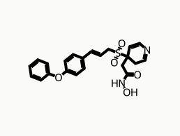 O=C(CC1(S(=O)(=O)CC=Cc2ccc(Oc3ccccc3)cc2)C=CN=CC1)NO